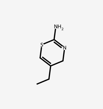 CCC1=CSC(N)=NC1